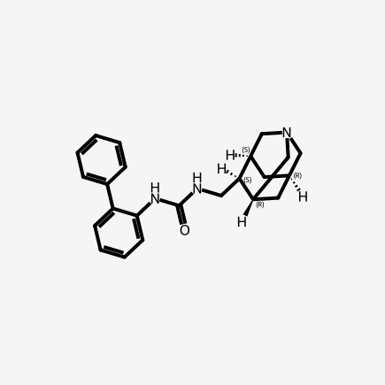 O=C(NC[C@H]1[C@@H]2C[C@@H]3C[C@H]1CN(C3)C2)Nc1ccccc1-c1ccccc1